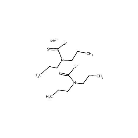 CCCN(CCC)C(=S)[S-].CCCN(CCC)C(=S)[S-].[Se+2]